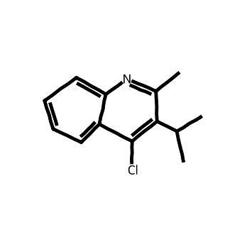 Cc1nc2ccccc2c(Cl)c1C(C)C